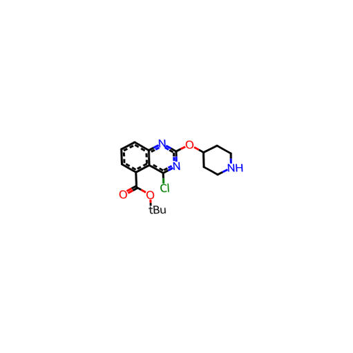 CC(C)(C)OC(=O)c1cccc2nc(OC3CCNCC3)nc(Cl)c12